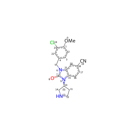 COc1ccc(Cn2c(=O)n([C@H]3CCNC3)c3ccc(C#N)cc32)cc1Cl